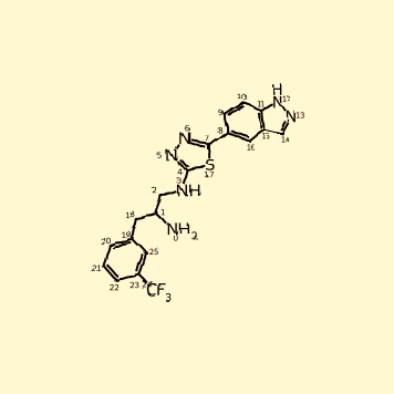 NC(CNc1nnc(-c2ccc3[nH]ncc3c2)s1)Cc1cccc(C(F)(F)F)c1